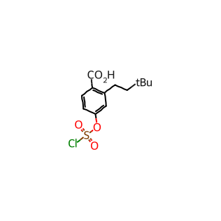 CC(C)(C)CCc1cc(OS(=O)(=O)Cl)ccc1C(=O)O